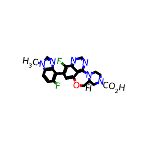 Cn1cnc2c(-c3cc4c5c(ncnc5c3F)N3CCN(C(=O)O)C[C@H]3CO4)c(F)ccc21